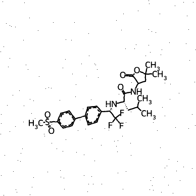 CC(C)C[C@H](N[C@@H](c1ccc(-c2ccc(S(C)(=O)=O)cc2)cc1)C(F)(F)F)C(=O)NC1CC(C)(C)OC1=O